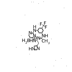 Bc1cnc(Nc2cc(NC(C)=N)cc(C(F)(F)F)c2)nc1NCCc1c[nH]cn1